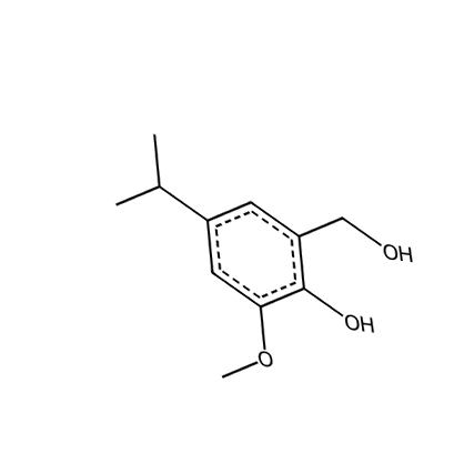 COc1cc(C(C)C)cc(CO)c1O